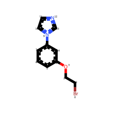 BrCCOc1cccc(-n2ccnc2)c1